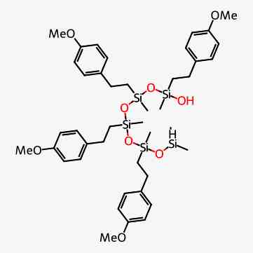 COc1ccc(CC[Si](C)(O)O[Si](C)(CCc2ccc(OC)cc2)O[Si](C)(CCc2ccc(OC)cc2)O[Si](C)(CCc2ccc(OC)cc2)O[SiH](C)C)cc1